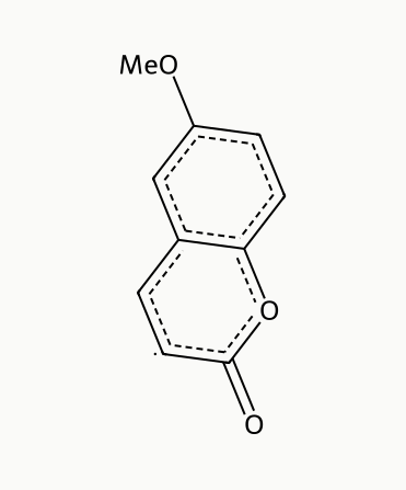 COc1ccc2oc(=O)[c]cc2c1